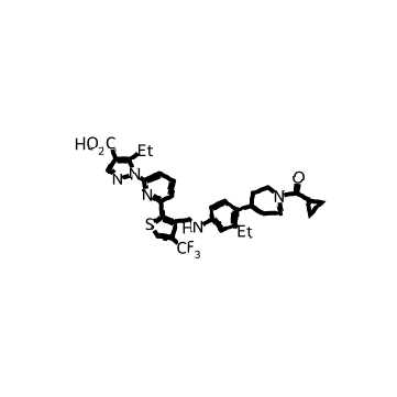 CCc1cc(NCc2c(C(F)(F)F)csc2-c2cccc(-n3ncc(C(=O)O)c3CC)n2)ccc1C1CCN(C(=O)C2CC2)CC1